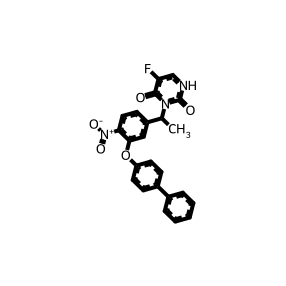 CC(c1ccc([N+](=O)[O-])c(Oc2ccc(-c3ccccc3)cc2)c1)n1c(=O)[nH]cc(F)c1=O